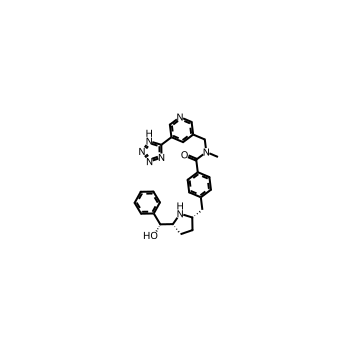 CN(Cc1cncc(-c2nnn[nH]2)c1)C(=O)c1ccc(C[C@@H]2CC[C@H]([C@H](O)c3ccccc3)N2)cc1